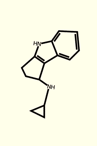 c1ccc2c3c([nH]c2c1)CCC3NC1CC1